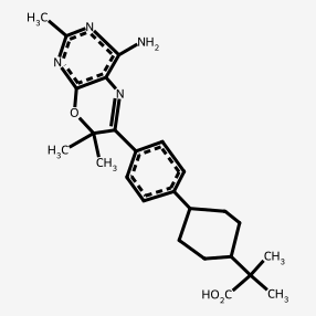 Cc1nc(N)c2c(n1)OC(C)(C)C(c1ccc(C3CCC(C(C)(C)C(=O)O)CC3)cc1)=N2